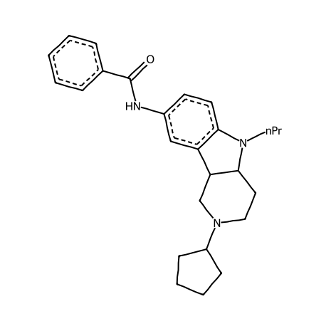 CCCN1c2ccc(NC(=O)c3ccccc3)cc2C2CN(C3CCCC3)CCC21